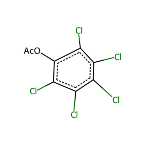 CC(=O)Oc1c(Cl)c(Cl)c(Cl)c(Cl)c1Cl